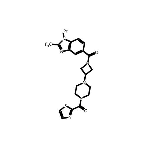 CC(C)n1c(C(F)(F)F)nc2cc(C(=O)N3CC(N4CCN(C(=O)c5nccs5)CC4)C3)ccc21